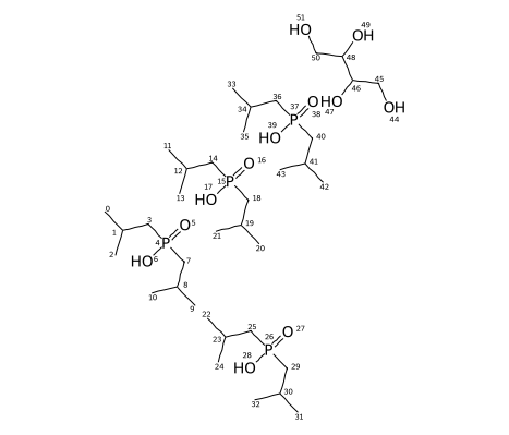 CC(C)CP(=O)(O)CC(C)C.CC(C)CP(=O)(O)CC(C)C.CC(C)CP(=O)(O)CC(C)C.CC(C)CP(=O)(O)CC(C)C.OCC(O)C(O)CO